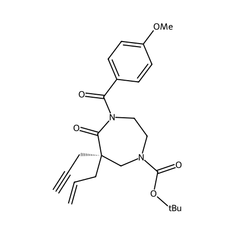 C#CC[C@@]1(CC=C)CN(C(=O)OC(C)(C)C)CCN(C(=O)c2ccc(OC)cc2)C1=O